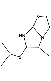 CC(C)SC1NC2SCCN2C1C